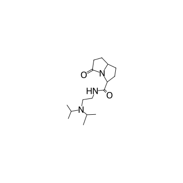 CC(C)N(CCNC(=O)C1CCC2CCC(=O)N21)C(C)C